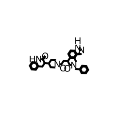 O=C1Nc2ccccc2CC1C1CCN(C(=O)CC2C(=O)N(Cc3ccccc3)Cc3c2ccc2[nH]ncc32)CC1